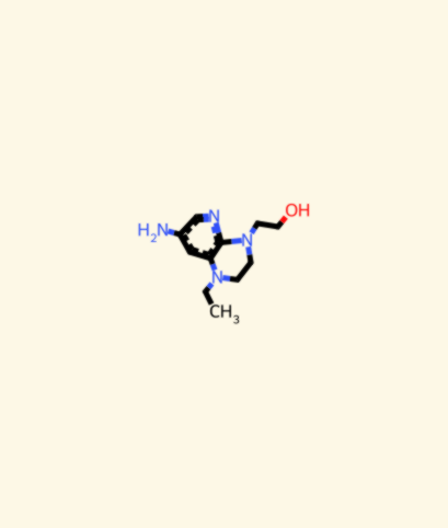 CCN1CCN(CCO)c2ncc(N)cc21